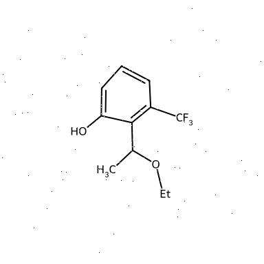 CCOC(C)c1c(O)cccc1C(F)(F)F